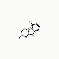 CN1CCN2c3c(F)cccc3CC2C1